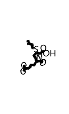 CCCCSC1CC2C(CC=CC(=O)OC)C(=O)N2C1C(=O)O